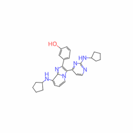 Oc1cccc(-c2nc3c(NC4CCCC4)cccn3c2-c2ccnc(NC3CCCC3)n2)c1